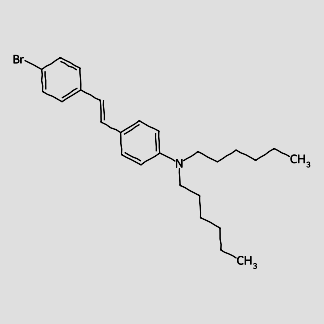 CCCCCCN(CCCCCC)c1ccc(/C=C/c2ccc(Br)cc2)cc1